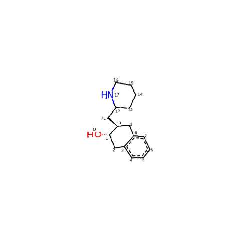 O[C@H]1Cc2ccccc2C[C@@H]1CC1CCCCN1